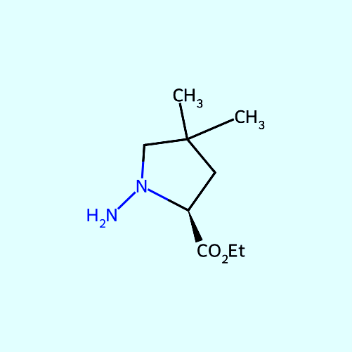 CCOC(=O)[C@@H]1CC(C)(C)CN1N